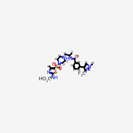 Cc1nc(NC(=O)O)sc1S(=O)(=O)N1CCN(CC(C)NC(=O)c2cccc(-c3cn(C)nc3C(F)(F)F)c2)CC1